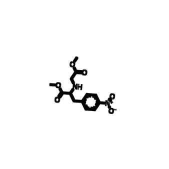 COC(=O)CNC(Cc1ccc([N+](=O)[O-])cc1)C(=O)OC